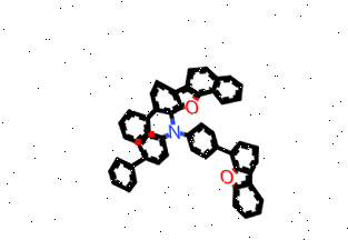 c1ccc(-c2ccc(N(c3ccc(-c4cccc5c4oc4ccccc45)cc3)c3c(-c4ccccc4)ccc4c3oc3c5ccccc5ccc43)cc2)cc1